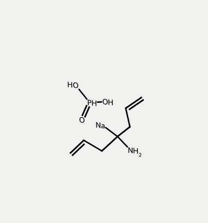 C=CC[C](N)([Na])CC=C.O=[PH](O)O